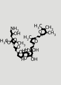 C=C1C[C@H](CC[C@@]2(O)C[C@@H](O)C3=C[C@@H](O2)[C@H]2O[C@@H](CC(=O)C[C@@H]4[C@@H](OC)[C@@H](C[C@H](O)CN)O[C@H]4C)CC[C@@H]2O3)O[C@H]1CC[C@H]1C[C@@H](C)C(=C)[C@@H](C)O1